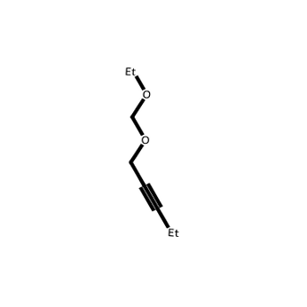 CCC#CCOCOCC